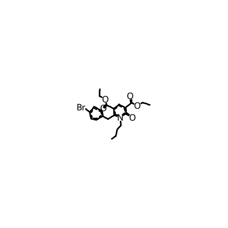 CCCCn1c(Cc2ccc(Br)cc2)c(C(=O)OCC)cc(C(=O)OCC)c1=O